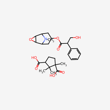 CC1(C(=O)O)CCC(C(=O)O)C1(C)C.CN1C2CC(OC(=O)C(CO)c3ccccc3)CC1C1OC12